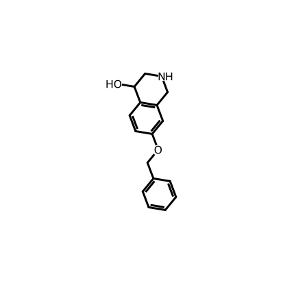 OC1CNCc2cc(OCc3ccccc3)ccc21